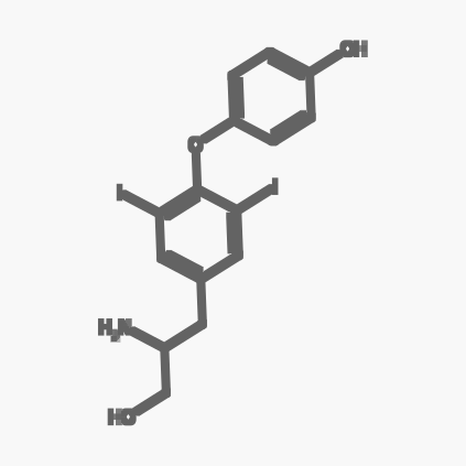 NC(CO)Cc1cc(I)c(Oc2ccc(O)cc2)c(I)c1